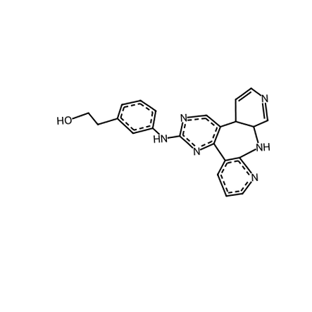 OCCc1cccc(Nc2ncc3c(n2)-c2cccnc2NC2C=NC=CC32)c1